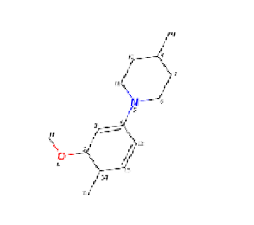 COC1C=C(N2CCC(C)CC2)C=CC1C